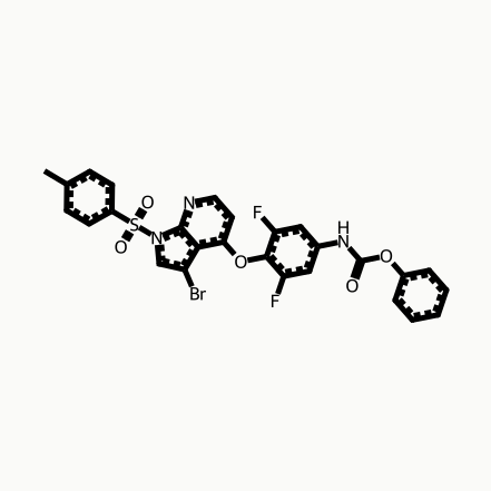 Cc1ccc(S(=O)(=O)n2cc(Br)c3c(Oc4c(F)cc(NC(=O)Oc5ccccc5)cc4F)ccnc32)cc1